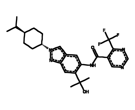 CC(C)[C@H]1CC[C@H](n2cc3cc(NC(=O)c4cncnc4C(F)(F)F)c(C(C)(C)O)cc3n2)CC1